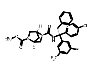 CC(C)(C)OC(=O)N1C[C@@H]2C[C@H]1CN2C(=O)N[C@](Cc1ccccc1)(c1cc(F)cc(C(F)(F)F)c1)c1ccc(Cl)cn1